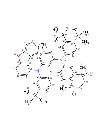 Cc1cc2c3c(c1)N(c1cccc4oc5ccccc5c14)c1cc(C(C)(C)C)ccc1B3c1cc3c(cc1N2c1ccc2c(c1)C(C)(C)CCC2(C)C)C(C)(C)CCC3(C)C